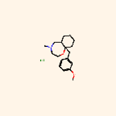 COc1cccc(CC23CCCCC2CN(C)CCO3)c1.Cl